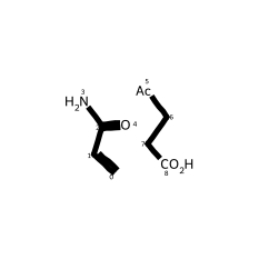 C=CC(N)=O.CC(=O)CCC(=O)O